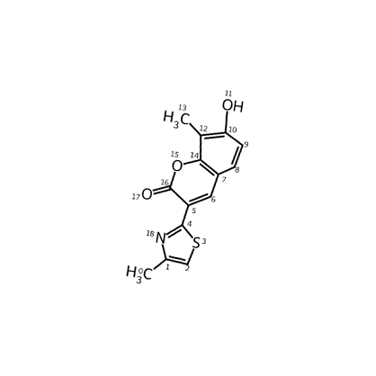 Cc1csc(-c2cc3ccc(O)c(C)c3oc2=O)n1